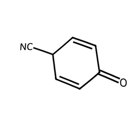 N#CC1C=CC(=O)C=C1